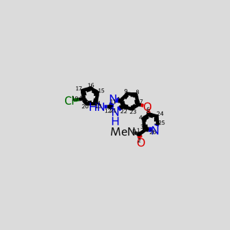 CNC(=O)c1cc(Oc2ccc3nc(Nc4cccc(Cl)c4)[nH]c3c2)ccn1